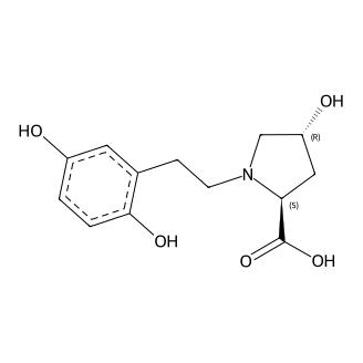 O=C(O)[C@@H]1C[C@@H](O)CN1CCc1cc(O)ccc1O